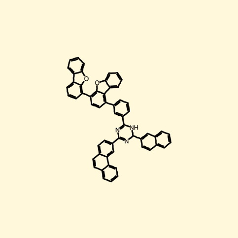 c1cc(C2=NC(c3ccc4ccc5ccccc5c4c3)=NC(c3ccc4ccccc4c3)N2)cc(-c2ccc(-c3cccc4c3oc3ccccc34)c3oc4ccccc4c23)c1